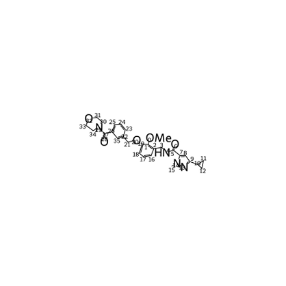 COc1c(CNC(=O)c2cc(C3CC3)nn2C)cccc1OCc1cccc(C(=O)N2CCOCC2)c1